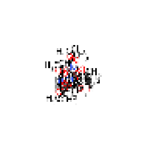 CC(C)(C)OC(=O)CN(CC(=O)OC(C)(C)C)C(=O)CN(CC(=O)N(CC(=O)OC(C)(C)C)CC(=O)OC(C)(C)C)C(C(C)(C)C)(C(C)(C)C)C(CO)(C(C)(C)C)C(C)(C)C